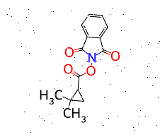 CC1(C)CC1C(=O)ON1C(=O)c2ccccc2C1=O